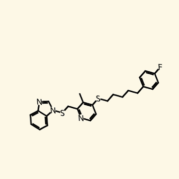 Cc1c(SCCCCCc2ccc(F)cc2)ccnc1CSn1cnc2ccccc21